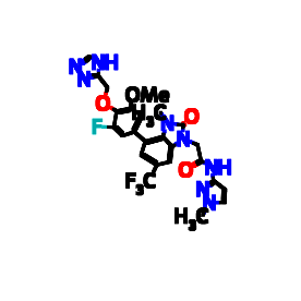 COc1cc(-c2cc(C(F)(F)F)cc3c2n(C)c(=O)n3CC(=O)Nc2ccn(C)n2)cc(F)c1OCc1nnc[nH]1